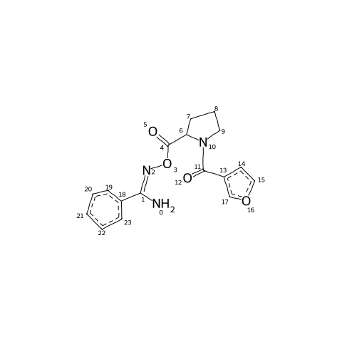 NC(=NOC(=O)C1CCCN1C(=O)c1ccoc1)c1ccccc1